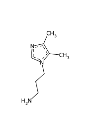 Cc1ncn(CCCN)c1C